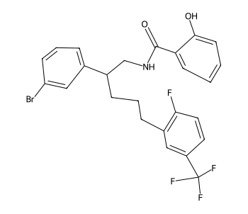 O=C(NCC(CCCc1cc(C(F)(F)F)ccc1F)c1cccc(Br)c1)c1ccccc1O